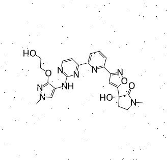 CN1CCC(O)(c2cc(-c3cccc(-c4ccnc(Nc5cn(C)nc5OCCO)n4)n3)no2)C1=O